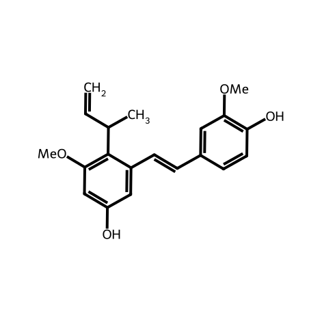 C=CC(C)c1c(C=Cc2ccc(O)c(OC)c2)cc(O)cc1OC